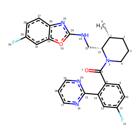 C[C@@H]1CCCN(C(=O)c2ccc(F)cc2-c2ncccn2)[C@@H]1CNc1nc2ccc(F)cc2o1